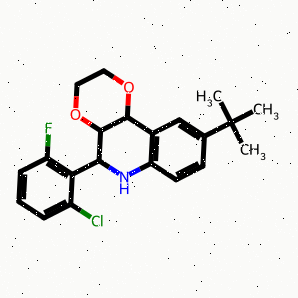 CC(C)(C)c1ccc2c(c1)C1OCCOC1C(c1c(F)cccc1Cl)N2